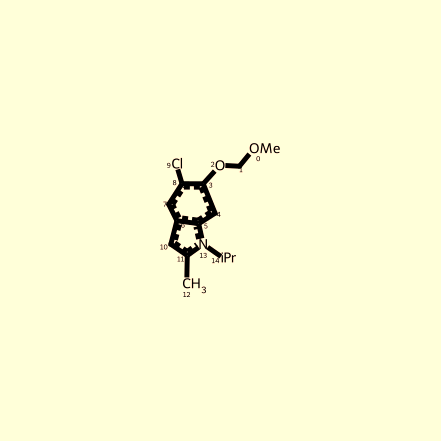 COCOc1cc2c(cc1Cl)cc(C)n2C(C)C